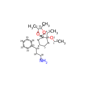 CCOC1(CC)CCCC[Si]1(OCC)OCC.NCCCc1ccccc1